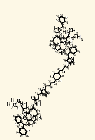 CC[C@H](NC)C(O)N[C@@H]1C(=O)N2[C@@H](CC[C@@H]1CNC(=O)CCc1cn(CCCCC3CCC(CCCCn4cc([C@@H](NC(=O)[C@@H]5CC[C@@H]6CC[C@H](CCNCc7ccccc7)[C@H](NC(O)[C@H](CC)NC)C(=O)N65)c5ccccc5)nn4)CC3)nn1)CC[C@H]2C(=O)NC(c1ccccc1)c1ccccc1